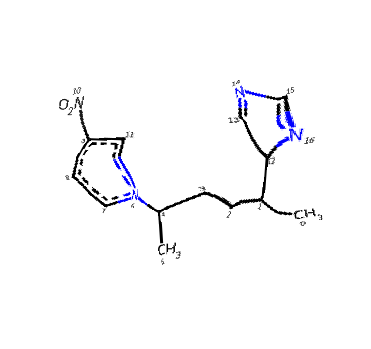 CC(CCC(C)n1ccc([N+](=O)[O-])c1)C1C=NC=N1